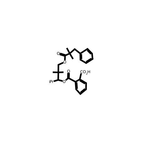 CC(C)C(OC(=O)c1ccccc1C(=O)O)C(C)(C)COC(=O)C(C)(C)Cc1ccccc1